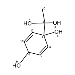 CC(O)(O)C1(O)C=CC(O)C=C1